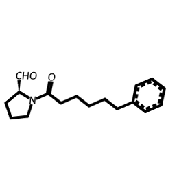 O=C[C@@H]1CCCN1C(=O)CCCCCc1ccccc1